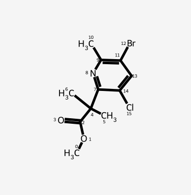 COC(=O)C(C)(C)c1nc(C)c(Br)cc1Cl